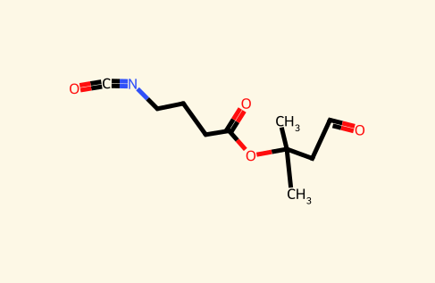 CC(C)(CC=O)OC(=O)CCCN=C=O